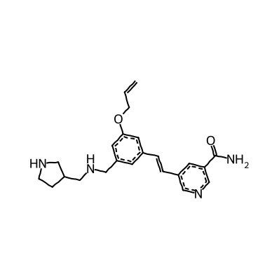 C=CCOc1cc(/C=C/c2cncc(C(N)=O)c2)cc(CNCC2CCNC2)c1